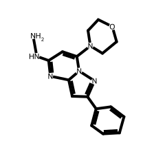 NNc1cc(N2CCOCC2)n2nc(-c3ccccc3)cc2n1